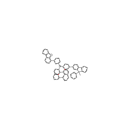 CC1(c2ccccc2)c2ccccc2-c2ccc(-c3ccc(N(c4cccc(-c5cccc6c5oc5ccccc56)c4)c4ccccc4-c4cccc5cccc(-c6ccccc6)c45)cc3)cc21